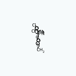 C=CCN1CCc2cc(OCC3COC(Cn4ccnc4)(c4ccc(Cl)cc4Cl)O3)ccc2C1